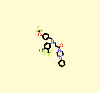 O=C(CCN(Cc1ccc(OC(F)(F)F)cc1)c1ccc(Cl)c(C(F)(F)F)c1)N1CCN(c2ccccc2)CC1